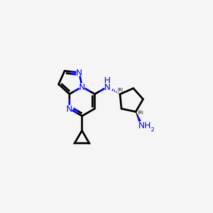 N[C@@H]1CC[C@@H](Nc2cc(C3CC3)nc3ccnn23)C1